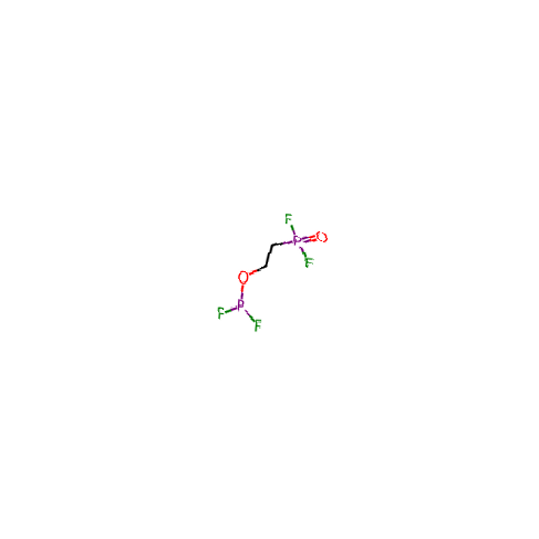 O=P(F)(F)CCOP(F)F